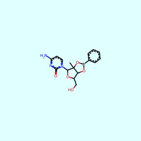 CC12OB(c3ccccc3)OC1C(CO)OC2n1ccc(N)nc1=O